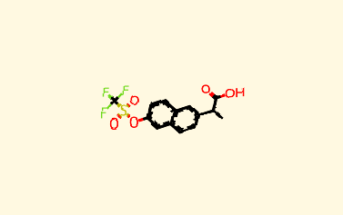 CC(C(=O)O)c1ccc2cc(OS(=O)(=O)C(F)(F)F)ccc2c1